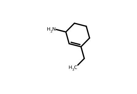 CCC1=CC(N)CCC1